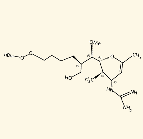 CCCCOOCCCC[C@H](CO)[C@@H](OC)[C@@H]1OC(C)=C[C@H](NC(=N)N)[C@H]1C